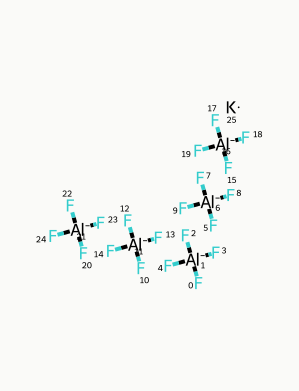 [F][Al-]([F])([F])[F].[F][Al-]([F])([F])[F].[F][Al-]([F])([F])[F].[F][Al-]([F])([F])[F].[F][Al-]([F])([F])[F].[K]